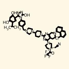 CC(C)c1cc(-c2nnc(O)n2-c2ccc(CN3CCN(C4CCN(c5nc6c(c(N7CCN(C(=O)C(F)(F)F)[C@@H](CC#N)C7)n5)CCN(c5cccc7cccc(Cl)c57)C6)CC4)CC3)cc2)c(O)cc1O